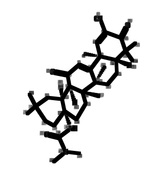 [C-]#[N+]C1=C[C@]2(C)C3=CC(=O)[C@@H]4[C@@H]5CC(C)(C)CC[C@]5(NC(=O)N(C)C)CC[C@@]4(C)[C@]3(C)CC[C@H]2C(C)(C)C1=O